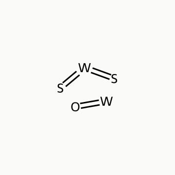 [O]=[W].[S]=[W]=[S]